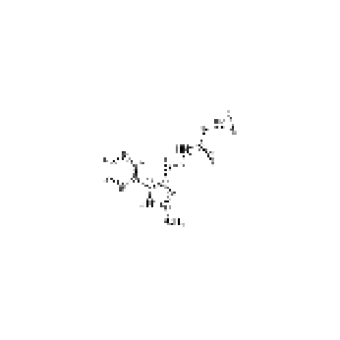 Cc1cc(OCNC(=O)CC2CC2)n(-c2ccccc2)n1